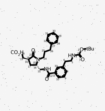 CC(C)(C)OC(=O)NCCc1cccc(C(=O)NC[C@@H]2C[C@@H](CC(=O)O)C(=O)N2CCCc2ccccc2)c1